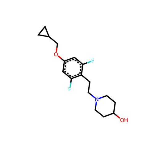 OC1CCN(CCc2c(F)cc(OCC3CC3)cc2F)CC1